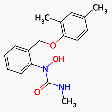 CNC(=O)N(O)c1ccccc1COc1ccc(C)cc1C